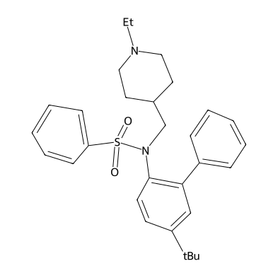 CCN1CCC(CN(c2ccc(C(C)(C)C)cc2-c2ccccc2)S(=O)(=O)c2ccccc2)CC1